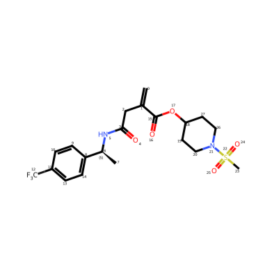 C=C(CC(=O)N[C@@H](C)c1ccc(C(F)(F)F)cc1)C(=O)OC1CCN(S(C)(=O)=O)CC1